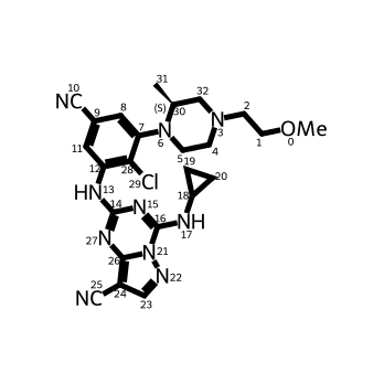 COCCN1CCN(c2cc(C#N)cc(Nc3nc(NC4CC4)n4ncc(C#N)c4n3)c2Cl)[C@@H](C)C1